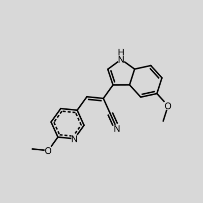 COC1=CC2C(/C(C#N)=C/c3ccc(OC)nc3)=CNC2C=C1